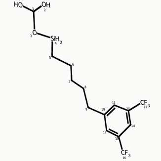 OC(O)O[SiH2]CCCCCc1cc(C(F)(F)F)cc(C(F)(F)F)c1